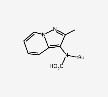 Cc1nn2ccccc2c1N(C(=O)O)C(C)(C)C